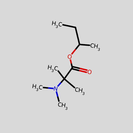 CCC(C)OC(=O)C(C)(C)N(C)C